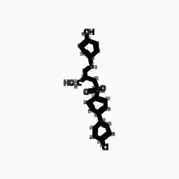 O=C(O)C(CSc1ccc(O)cc1)CS(=O)(=O)c1ccc(-c2ccc(Cl)cc2)cc1